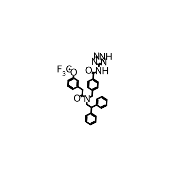 O=C(Nc1nn[nH]n1)c1ccc(CN(CC(c2ccccc2)c2ccccc2)C(=O)Cc2cccc(OC(F)(F)F)c2)cc1